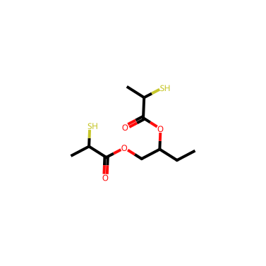 CCC(COC(=O)C(C)S)OC(=O)C(C)S